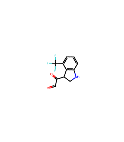 O=CC(=O)C1CNc2cccc(C(F)(F)F)c21